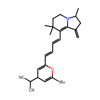 C=C1CC(C)N2CCC(C)(C)C(/C=C/C=C/C3=CC(C(C#N)C#N)C=C(C(C)(C)C)O3)=C12